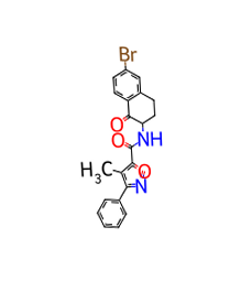 Cc1c(-c2ccccc2)noc1C(=O)NC1CCc2cc(Br)ccc2C1=O